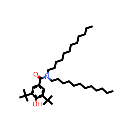 CCCCCCCCCCCCN(CCCCCCCCCCCC)C(=O)c1cc(C(C)(C)C)c(O)c(C(C)(C)C)c1